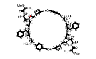 CC[C@H](NC(=O)[C@H](C)NC)C(=O)N1C[C@@H]2C[C@H]1C(=O)N[C@@H](Cc1ccccc1)C(=O)N[C@H](C(=O)O)Cc1ccc(cc1)OCc1cn(nn1)[C@H]1C[C@@H](C(=O)N[C@@H](Cc3ccccc3)C(=O)N[C@H](C(=O)O)Cc3ccc(cc3)OCc3cn2nn3)N(C(=O)[C@H](CC)NC(=O)[C@H](C)NC)C1